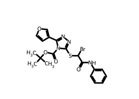 CC(C)(C)OC(=O)n1c(SC(Br)C(=O)Nc2ccccc2)nnc1-c1ccoc1